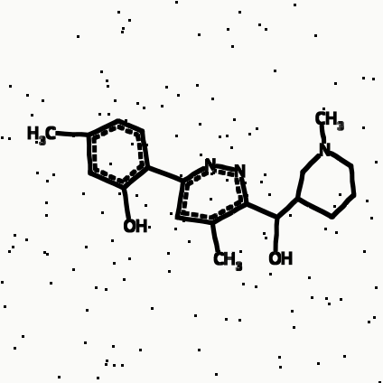 Cc1ccc(-c2cc(C)c(C(O)C3CCCN(C)C3)nn2)c(O)c1